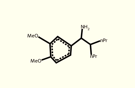 CCCC(CCC)C(N)c1ccc(OC)c(OC)c1